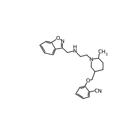 CC1CCC(COc2ccccc2C#N)CN1CCNCc1noc2ccccc12